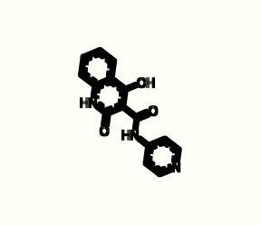 O=C(Nc1ccncc1)c1c(O)c2ccccc2[nH]c1=O